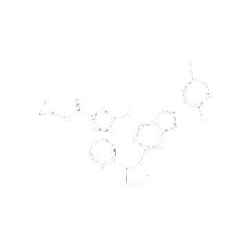 CC(=O)Nc1ccc(O)c(-c2cc3nc(N4CCCC4c4ccccn4)nc(Nc4cc(C(=O)NC5CC5)[nH]n4)n3c2)c1